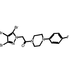 O=C(Cn1nc(Br)c(Br)c1Br)N1CCN(c2ccc(F)cc2)CC1